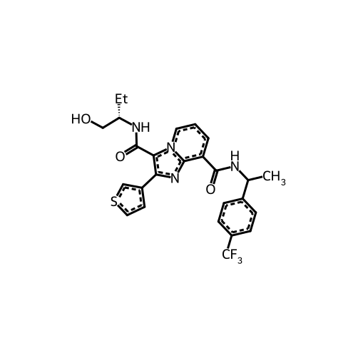 CC[C@@H](CO)NC(=O)c1c(-c2ccsc2)nc2c(C(=O)NC(C)c3ccc(C(F)(F)F)cc3)cccn12